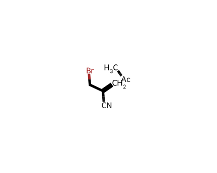 C=C(C#N)CBr.CC(C)=O